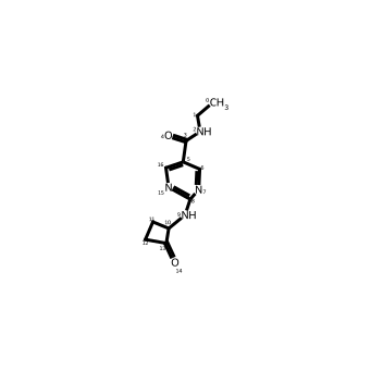 CCNC(=O)c1cnc(NC2CCC2=O)nc1